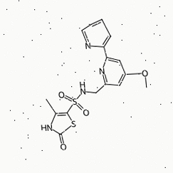 COc1cc(CNS(=O)(=O)c2sc(=O)[nH]c2C)nc(-c2ccccn2)c1